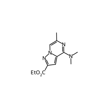 CCOC(=O)c1cc2c(N(C)C)nc(C)cn2n1